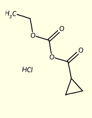 CCOC(=O)OC(=O)C1CC1.Cl